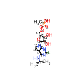 CC(C)Nc1nc(Cl)nc2c1ccn2[C@@H]1O[C@H](COOP(C)(=O)O)[C@@H](O)[C@H]1O